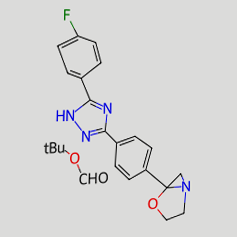 CC(C)(C)OC=O.Fc1ccc(-c2nc(-c3ccc(C45CN4CCO5)cc3)n[nH]2)cc1